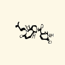 CC(C)CCN1C(=O)CC[C@@H]2CN(C(=O)c3ccc(=O)[nH]n3)CC[C@@H]21